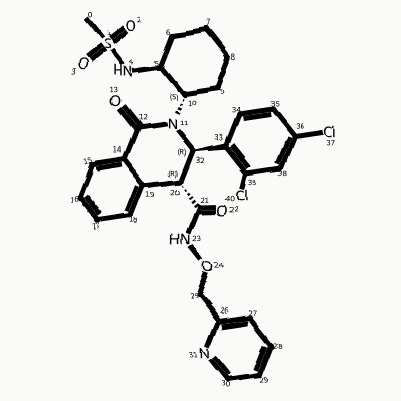 CS(=O)(=O)NC1CCCC[C@@H]1N1C(=O)c2ccccc2[C@@H](C(=O)NOCc2ccccn2)[C@@H]1c1ccc(Cl)cc1Cl